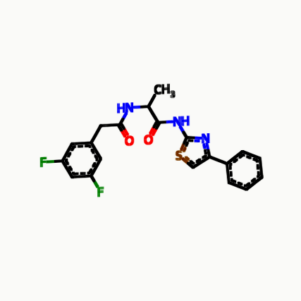 CC(NC(=O)Cc1cc(F)cc(F)c1)C(=O)Nc1nc(-c2ccccc2)cs1